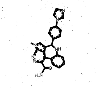 Cn1cc2c3c(c(C(N)=O)nnc31)-c1ccccc1NC2c1ccc(-n2ccnc2)cc1